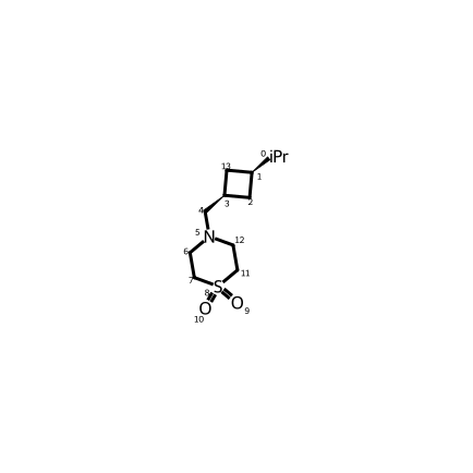 CC(C)[C@H]1C[C@@H](CN2CCS(=O)(=O)CC2)C1